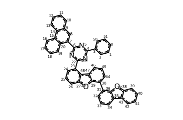 c1ccc(-c2nc(-c3cc4ccccc4c4ccccc34)nc(-c3cccc4oc5c(-c6cccc7c6oc6ccccc67)cccc5c34)n2)cc1